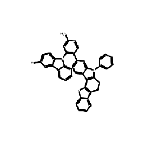 CCc1ccc2c(c1)c1ccccc1n2-c1cc(N)ccc1-c1ccc2c3c(n(-c4ccccc4)c2c1)CCc1c-3sc2ccccc12